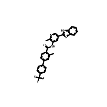 Cc1cc(-c2ccc(C(F)(F)F)cc2)ccc1C(=O)Nc1cc(-c2nc3ccccc3[nH]2)cnc1C